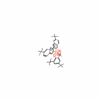 CC(C)(C)c1cc(C(C)(C)C)c(OP(O)(O)(c2cc3ccc(C(C)(C)C)cc3cc2C(C)(C)C)c2cc3ccc(C(C)(C)C)cc3cc2C(C)(C)C)c(C(C)(C)C)c1